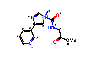 COC(=O)CNC(=O)[N+]1(C)C=NC(c2cccnc2)=C1